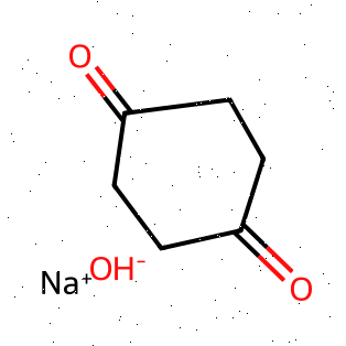 O=C1CCC(=O)CC1.[Na+].[OH-]